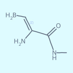 B/C=C(\N)C(=O)NC